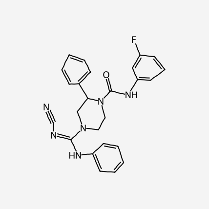 N#C/N=C(/Nc1ccccc1)N1CCN(C(=O)Nc2cccc(F)c2)C(c2ccccc2)C1